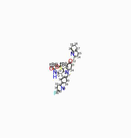 CC(C)(Cc1c(SC(C)(C)C)c2cc(OCc3ccc4ccccc4n3)ccc2n1Cc1ccc(-c2ccc(F)cn2)cc1)NC(=O)OC(C)(C)C